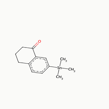 [CH3][Sn]([CH3])([CH3])[c]1ccc2c(c1)C(=O)CCC2